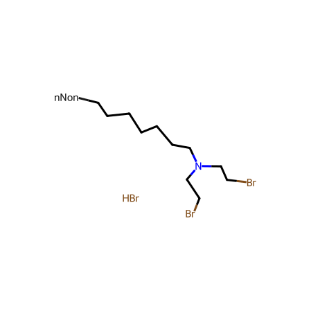 Br.CCCCCCCCCCCCCCCCN(CCBr)CCBr